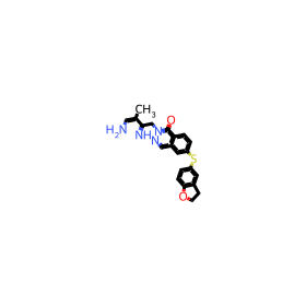 C/C(=C/N)C(=N)Cn1ncc2cc(Sc3ccc4c(c3)CCO4)ccc2c1=O